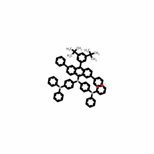 CC(C)(C)c1cc(-c2c3cc(-c4ccccc4)ccc3c(N(c3ccc(N(c4ccccc4)c4ccccc4)cc3)c3ccc(N(c4ccccc4)c4ccccc4)cc3)c3cc(-c4ccccc4)ccc23)cc(C(C)(C)C)c1